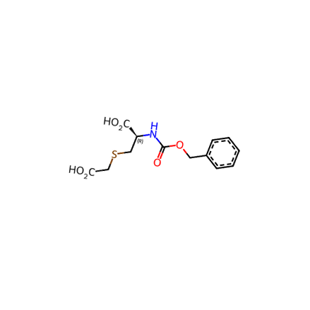 O=C(O)CSC[C@H](NC(=O)OCc1ccccc1)C(=O)O